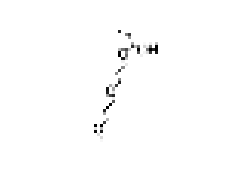 CCC(O)OCCCOCCCOC